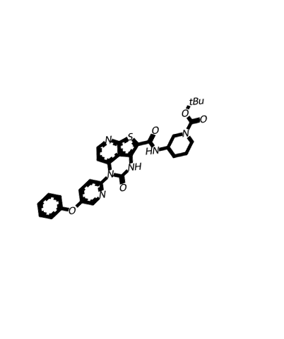 CC(C)(C)OC(=O)N1CCCC(NC(=O)c2sc3nccc4c3c2NC(=O)N4c2ccc(Oc3ccccc3)cn2)C1